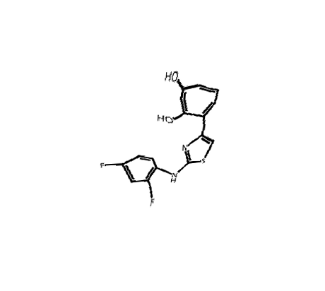 Oc1cccc(-c2csc(Nc3ccc(F)cc3F)n2)c1O